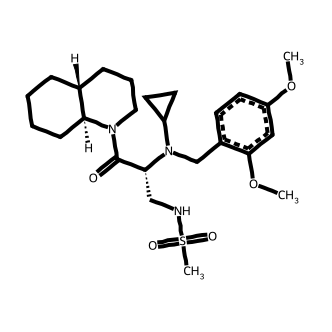 COc1ccc(CN(C2CC2)[C@H](CNS(C)(=O)=O)C(=O)N2CCC[C@H]3CCCC[C@@H]32)c(OC)c1